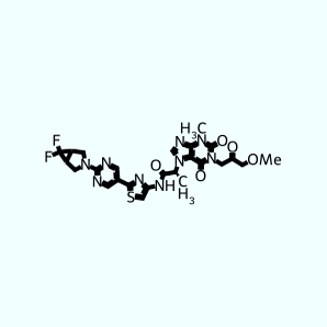 COCC(=O)Cn1c(=O)c2c(ncn2[C@@H](C)C(=O)Nc2csc(-c3cnc(N4CC5C(C4)C5(F)F)nc3)n2)n(C)c1=O